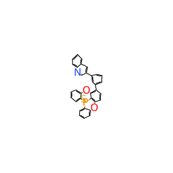 S=P12c3ccccc3Oc3ccc(-c4cccc(-c5cnc6ccccc6c5)c4)c(c31)Oc1ccccc12